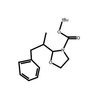 CC(Cc1ccccc1)C1OCCN1C(=O)OC(C)(C)C